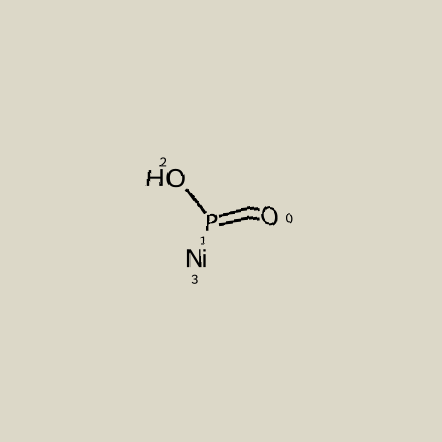 O=PO.[Ni]